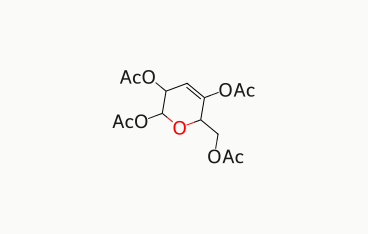 CC(=O)OCC1OC(OC(C)=O)C(OC(C)=O)C=C1OC(C)=O